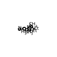 CCC(CC)c1cc(C)n2nc(-c3ccc(-n4cccn4)cc3C)n(C)c(=O)c12